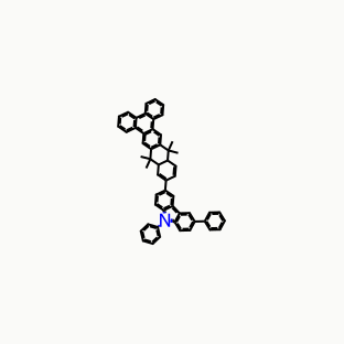 CC1(C)c2cc3c4ccccc4c4ccccc4c3cc2C(C)(C)C2C=C(c3ccc4c(c3)c3cc(-c5ccccc5)ccc3n4-c3ccccc3)C=CC21